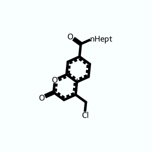 CCCCCCCC(=O)c1ccc2c(CCl)cc(=O)oc2c1